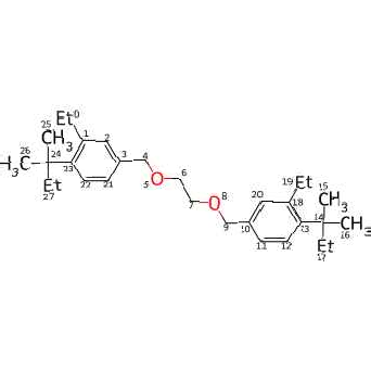 CCc1cc(COCCOCc2ccc(C(C)(C)CC)c(CC)c2)ccc1C(C)(C)CC